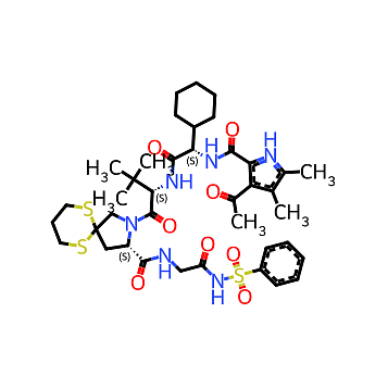 CC(=O)c1c(C(=O)N[C@H](C(=O)N[C@H](C(=O)N2CC3(C[C@H]2C(=O)NCC(=O)NS(=O)(=O)c2ccccc2)SCCCS3)C(C)(C)C)C2CCCCC2)[nH]c(C)c1C